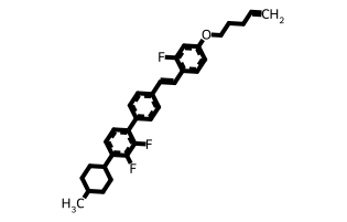 C=CCCCOc1ccc(/C=C/c2ccc(-c3ccc(C4CCC(C)CC4)c(F)c3F)cc2)c(F)c1